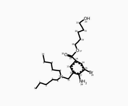 CCCCCN(CCCCC)Cc1cc(C(=O)OCCCCCO)cc(Br)c1N